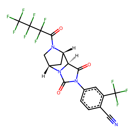 N#Cc1ccc(N2C(=O)[C@@H]3[C@@H]4C[C@@H](CN4C(=O)C(F)(F)C(F)(F)C(F)(F)F)N3C2=O)cc1C(F)(F)F